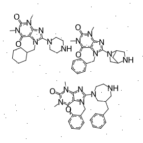 Cn1c(=O)c2c(nc(N3CC4CC3CN4)n2Cc2ccccc2)n(C)c1=O.Cn1c(=O)c2c(nc(N3CCNCC(Cc4ccccc4)C3)n2Cc2ccccc2I)n(C)c1=O.Cn1c(=O)c2c(nc(N3CCNCC3)n2CC2CCCCC2)n(C)c1=O